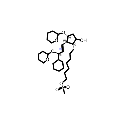 CS(=O)(=O)OCCCCCCC[C@H]1C(O)C[C@@H](OC2CCCCO2)[C@@H]1/C=C/[C@H](OC1CCCCO1)C1CCCCC1